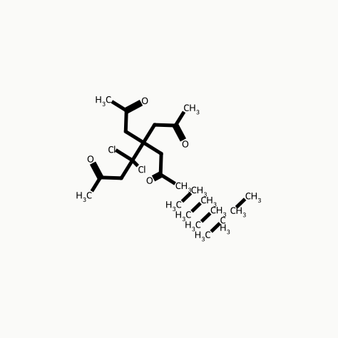 CC.CC.CC.CC.CC.CC(=O)CC(Cl)(Cl)C(CC(C)=O)(CC(C)=O)CC(C)=O